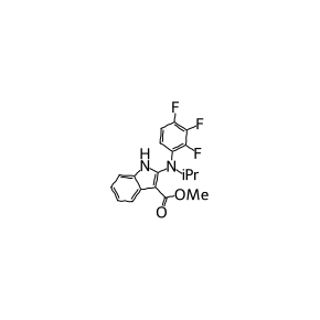 COC(=O)c1c(N(c2ccc(F)c(F)c2F)C(C)C)[nH]c2ccccc12